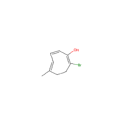 C\C1=C/C=C\C(O)=C(\Br)CC1